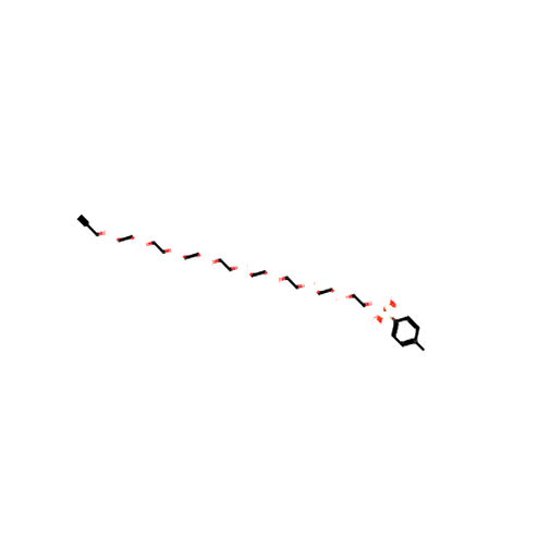 C#CCOCCOCCOCCOCCOCCOCCOCCOCCOS(=O)(=O)c1ccc(C)cc1